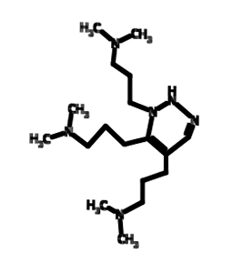 CN(C)CCCC1=C(CCCN(C)C)N(CCCN(C)C)NN=C1